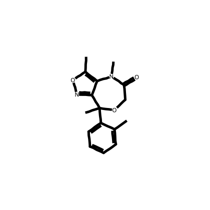 Cc1ccccc1C1(C)OCC(=O)N(C)c2c1noc2C